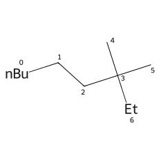 C[CH]CCCCC(C)(C)CC